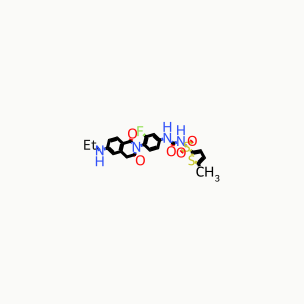 CCNc1ccc2c(c1)CC(=O)N(c1ccc(NC(=O)NS(=O)(=O)c3ccc(C)s3)cc1F)C2=O